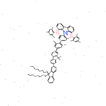 CCCCCCCCC1(CCCCCCCC)c2ccccc2-c2ccc(-c3ccc4c(c3)C(C)(C)c3cc(-c5cc(C)c(-c6cc7c8c(c6)B(c6c(C)cc(C)cc6C)c6cccc9c%10cccc(c%10n-8c69)B7c6c(C)cc(C)cc6C)c(C)c5)ccc3-4)cc21